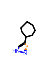 c1[nH]npc1C1CCCCCC1